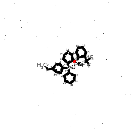 CCc1ccc(S(OS(=O)(=O)c2ccccc2C(F)(F)F)(c2ccccc2)c2ccccc2)cc1